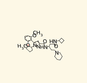 COc1cccc(OC)c1-c1cc(C(=O)NC(CCN2CCCCC2)CC(=O)NC2CCC2)nn1C1CCCC1